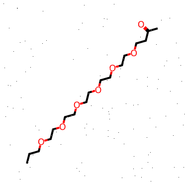 CCCOCCOCCOCCOCCOCCOCCC(C)=O